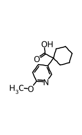 COc1ccc(C2(C(=O)O)CCCCC2)cn1